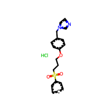 Cl.O=S(=O)(CCCOc1ccc(Cn2ccnc2)cc1)c1ccccc1